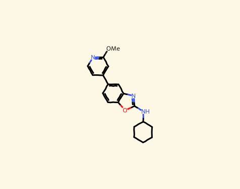 COc1cc(-c2ccc3oc(NC4CCCCC4)nc3c2)ccn1